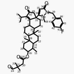 CC(C)C1=C2C3CCC4C(C)(CCC5C(C)C(OC(=O)CC(C)(C)C=O)CCC54C)C3CCC2(c2cc(=O)n(Cc3ccc(F)cc3)n2C)CC1=O